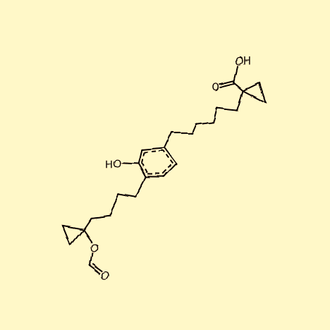 O=COC1(CCCCc2ccc(CCCCCCC3(C(=O)O)CC3)cc2O)CC1